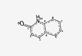 O=c1ccc2[c]cccc2[nH]1